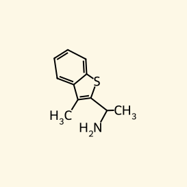 Cc1c(C(C)N)sc2ccccc12